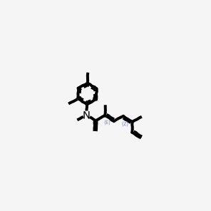 C=C/C(C)=C\C=C(/C)C(=C)N(C)c1ccc(C)cc1C